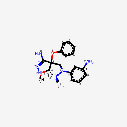 C=NN(CC(Oc1ccccc1)(/C(N)=N\N)[C@H](C)OC)c1cccc(N)c1